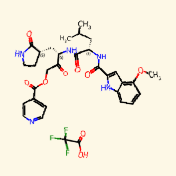 COc1cccc2[nH]c(C(=O)N[C@@H](CC(C)C)C(=O)N[C@@H](C[C@@H]3CCNC3=O)C(=O)COC(=O)c3ccncc3)cc12.O=C(O)C(F)(F)F